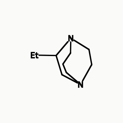 CCC1CN2CCCN1CC2